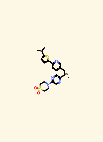 CC(C)c1ccc(-c2ccc(C[C@H](C)c3cnc(N4CCS(=O)(=O)CC4)cn3)cn2)s1